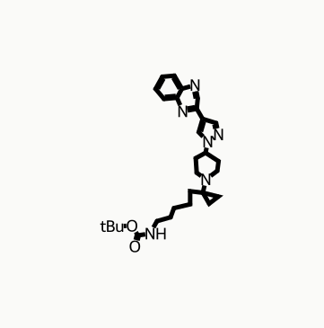 CC(C)(C)OC(=O)NCCCCCC1(N2CCC(n3cc(-c4cnc5ccccc5n4)cn3)CC2)CC1